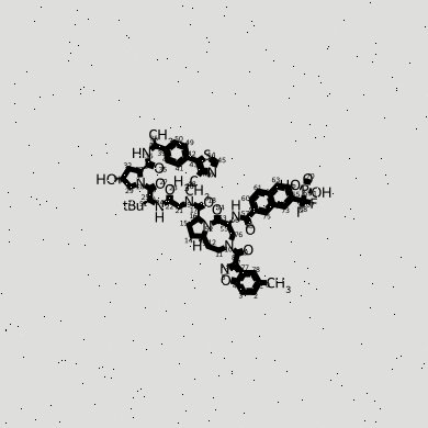 Cc1ccc2onc(C(=O)N3CC[C@H]4CC[C@@H](C(=O)N(C)CC(=O)N[C@H](C(=O)N5C[C@H](O)C[C@H]5C(=O)N[C@@H](C)c5ccc(-c6scnc6C)cc5)C(C)(C)C)N4C(=O)[C@@H](NC(=O)c4ccc5ccc(C(F)(F)P(=O)(O)O)cc5c4)C3)c2c1